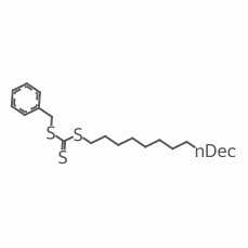 CCCCCCCCCCCCCCCCCCSC(=S)SCc1ccccc1